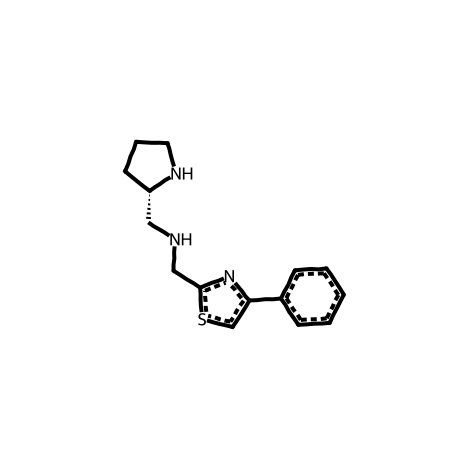 c1ccc(-c2csc(CNC[C@@H]3CCCN3)n2)cc1